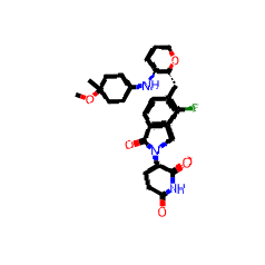 COC1(C)CCC(N[C@H]2CCCO[C@@H]2Cc2ccc3c(c2F)CN(C2CCC(=O)NC2=O)C3=O)CC1